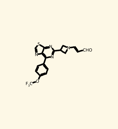 O=CC=CN1CC(c2nc(-c3ccc(OC(F)(F)F)cc3)c3ncsc3n2)C1